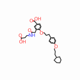 O=C(O)CCNC(=O)Cc1cc(C(=O)O)ccc1OCCCc1ccc(OCCCC2CCCCC2)cc1